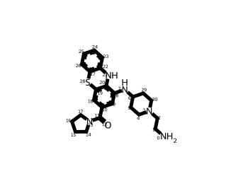 NCCN1CCC(Nc2cc(C(=O)N3CCCC3)cc3c2Nc2ccccc2S3)CC1